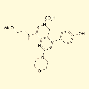 COCCNC1=CN(C(=O)O)Cc2c(-c3ccc(O)cc3)cc(N3CCOCC3)nc21